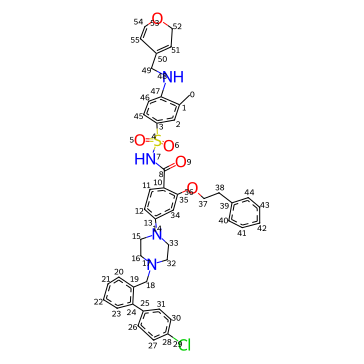 Cc1cc(S(=O)(=O)NC(=O)c2ccc(N3CCN(Cc4ccccc4-c4ccc(Cl)cc4)CC3)cc2OCCc2ccccc2)ccc1NCC1=CCOC=C1